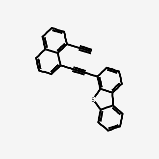 C#Cc1cccc2cccc(C#Cc3cccc4c3sc3ccccc34)c12